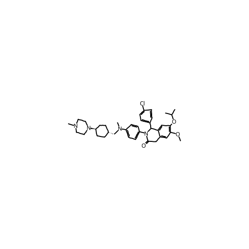 COc1cc2c(cc1OC(C)C)C(c1ccc(Cl)cc1)N(c1ccc(N(C)C[C@H]3CC[C@H](N4CCN(C)CC4)CC3)cc1)C(=O)C2